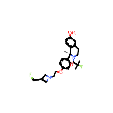 CC(C)(F)C(=O)N1CCc2cc(O)ccc2[C@]1(C)c1ccc(OCCN2CC(CF)C2)cc1